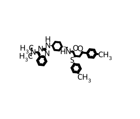 Cc1ccc(SC(CC(=O)c2ccc(C)cc2)C(=O)NC[C@H]2CC[C@@H](Nc3nc(N(C)C)c4ccccc4n3)CC2)cc1